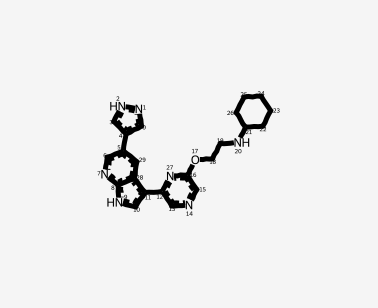 c1n[nH]cc1-c1cnc2[nH]cc(-c3cncc(OCCNC4CCCCC4)n3)c2c1